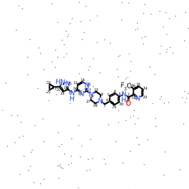 O=C(Nc1ccc(CN2CCN(c3nccc(Nc4cc(C5CC5)[nH]n4)n3)CC2)cc1)c1ncccc1C(F)(F)F